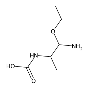 CCOC(N)C(C)NC(=O)O